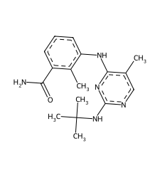 Cc1cnc(NC(C)(C)C)nc1Nc1cccc(C(N)=O)c1C